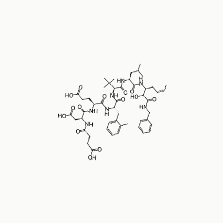 C/C=C\C[C@H](NC(=O)[C@H](CC(C)C)NC(=O)[C@@H](NC(=O)[C@H](Cc1ccccc1C)NC(=O)[C@H](CCC(=O)O)NC(=O)[C@H](CC(=O)O)NC(=O)CCC(=O)O)C(C)(C)C)C(O)C(=O)NCc1ccccc1